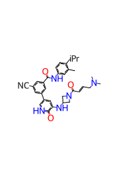 Cc1cc(NC(=O)c2cc(C#N)cc(-c3c[nH]c(=O)c(NC4CN(C(=O)/C=C/CN(C)C)C4)c3)c2)ccc1C(C)C